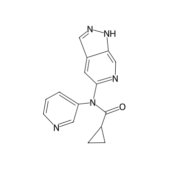 O=C(C1CC1)N(c1cccnc1)c1cc2cn[nH]c2cn1